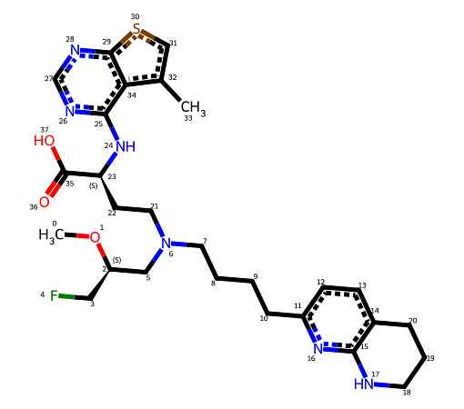 CO[C@H](CF)CN(CCCCc1ccc2c(n1)NCCC2)CC[C@H](Nc1ncnc2scc(C)c12)C(=O)O